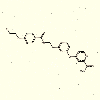 CNC(=O)c1cc(Oc2cccc(CCNC(=O)c3ccc(OCCF)nc3)c2)ccn1